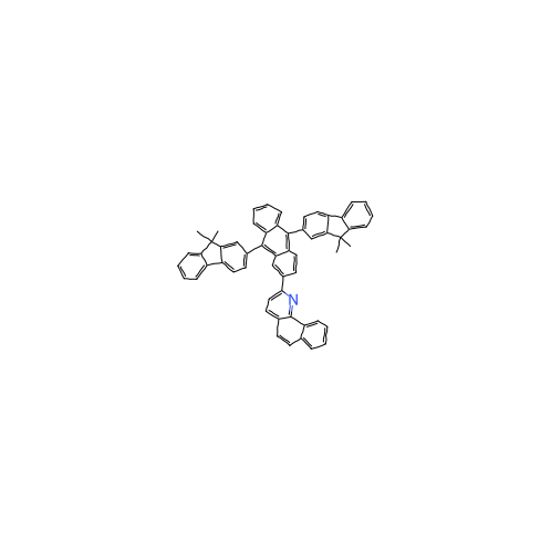 CC1(C)c2ccccc2-c2ccc(-c3c4ccccc4c(-c4ccc5c(c4)C(C)(C)c4ccccc4-5)c4cc(-c5ccc6ccc7ccccc7c6n5)ccc34)cc21